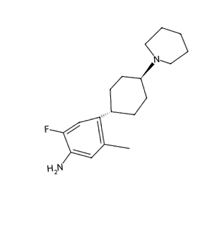 Cc1cc(N)c(F)cc1[C@H]1CC[C@H](N2CCCCC2)CC1